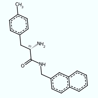 Cc1ccc(C[C@H](N)C(=O)NCc2ccc3ccccc3c2)cc1